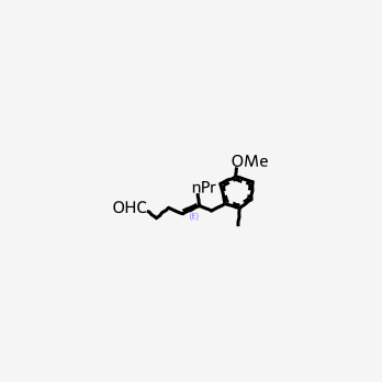 CCC/C(=C\CCC=O)Cc1cc(OC)ccc1C